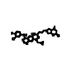 CN1CC(=O)OC2CN(CC=CC(=O)Nc3cc4c(Nc5ccc(F)c(Cl)c5)ncnc4cc3OCC3CC3)CC21